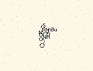 CCCCNC(=O)c1c(-c2ccsc2)noc1NC(=O)Cc1ccccc1